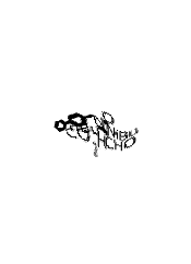 CCCCc1c(C=O)n(C(C)CC)c(=O)n1Cc1ccc(-c2ccccc2C(=O)O)cc1